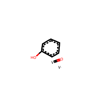 Oc1ccccc1.[O]=[V].[V]